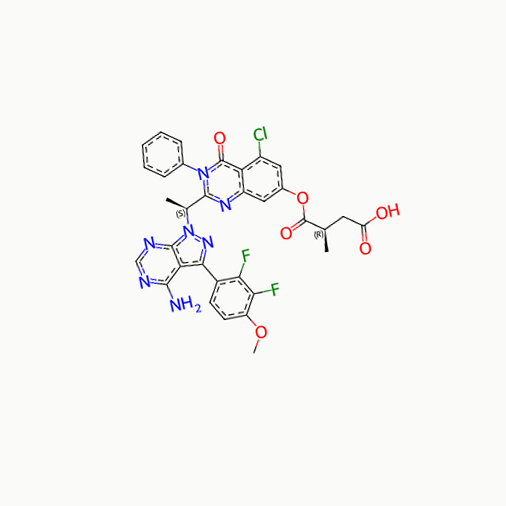 COc1ccc(-c2nn([C@@H](C)c3nc4cc(OC(=O)[C@H](C)CC(=O)O)cc(Cl)c4c(=O)n3-c3ccccc3)c3ncnc(N)c23)c(F)c1F